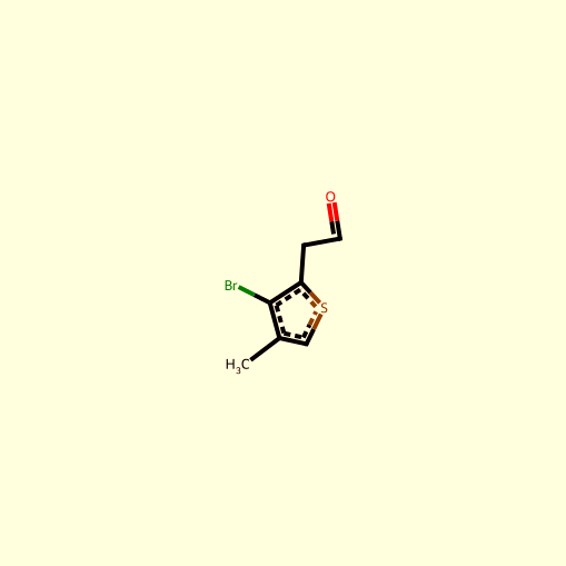 Cc1csc(CC=O)c1Br